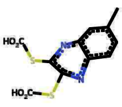 Cc1ccc2nc(SC(=O)O)c(SC(=O)O)nc2c1